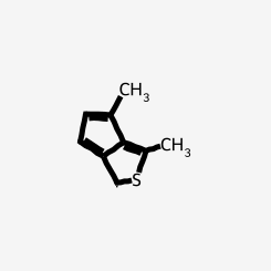 CC1=CC=C2[CH]SC(C)=C12